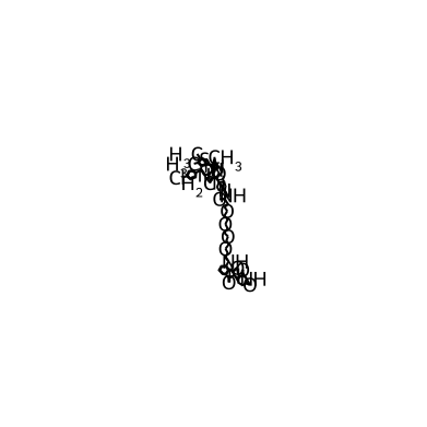 C=C(C(=O)N1CCN(NC(=O)CCOCCOCCOCCOCCNc2cccc3c2C(=O)N(C2CCC(=O)NC2=O)C3=O)CC1)[C@@H]1N=C(c2ccc(Cl)cc2)c2c(sc(C)c2C)-n2c(C)nnc21